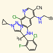 [2H]C(Nc1cc(Cl)c2ncc(C#N)c(NCC(C)(C)C)c2c1)(c1cn(C2CC2)nn1)c1c(F)cccc1Cl